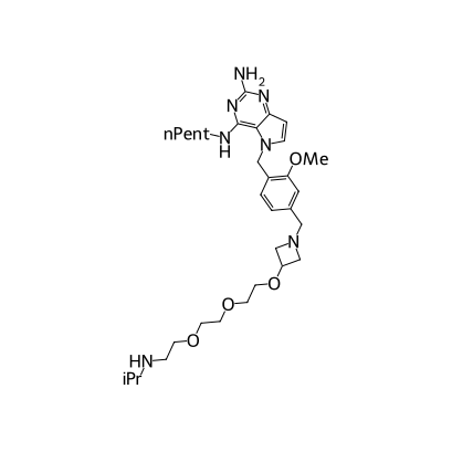 CCCCCNc1nc(N)nc2ccn(Cc3ccc(CN4CC(OCCOCCOCCNC(C)C)C4)cc3OC)c12